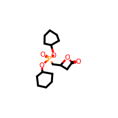 O=C1CC(CP(=O)(OC2CCCCC2)OC2CCCCC2)O1